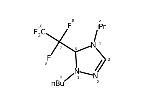 CCCCN1N=CN(C(C)C)C1C(F)(F)C(F)(F)F